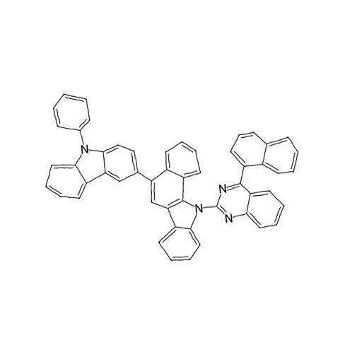 c1ccc(-n2c3ccccc3c3cc(-c4cc5c6ccccc6n(-c6nc(-c7cccc8ccccc78)c7ccccc7n6)c5c5ccccc45)ccc32)cc1